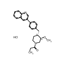 CCC(=O)N1CC[C@H](Cc2ccc(-c3cnc4ccccc4c3)cc2)[C@@H](OC)C1.Cl